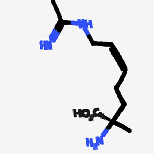 CC(=N)NC/C=C\CC[C@@](C)(N)C(=O)O